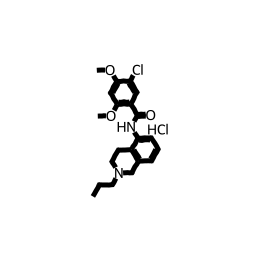 CCCN1CCc2c(cccc2NC(=O)c2cc(Cl)c(OC)cc2OC)C1.Cl